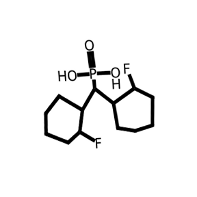 O=P(O)(O)C(C1CCCCC1F)C1CCCCC1F